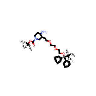 CC(C)(C)OC(=O)N1CCC(N)C(CCOCCOCCO[Si](c2ccccc2)(c2ccccc2)C(C)(C)C)C1